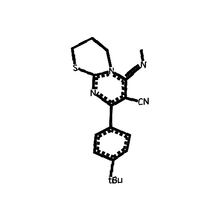 C/N=c1/c(C#N)c(-c2ccc(C(C)(C)C)cc2)nc2n1CCCS2